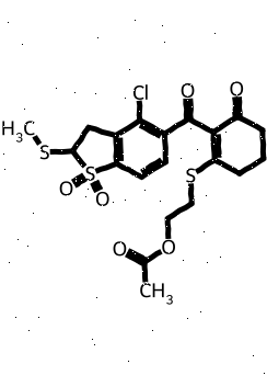 CSC1Cc2c(ccc(C(=O)C3=C(SCCOC(C)=O)CCCC3=O)c2Cl)S1(=O)=O